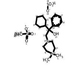 COS(=O)(=O)[O-].C[N+]1(C)CCN(CC(O)(c2ccccc2)C2CCCCC2)CC1.O=S(=O)([O-])O.[Na+]